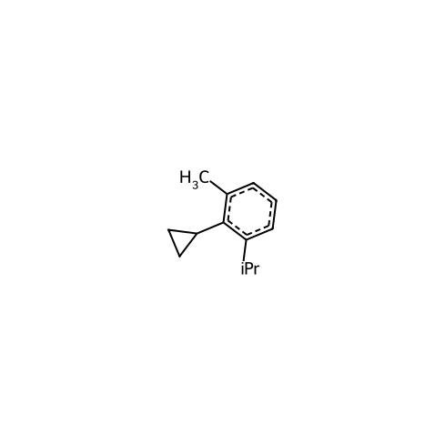 Cc1cccc(C(C)C)c1C1CC1